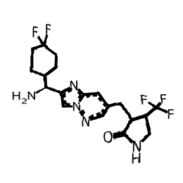 N[C@H](c1cn2ncc(CC3C(=O)NCC3C(F)(F)F)cc2n1)C1CCC(F)(F)CC1